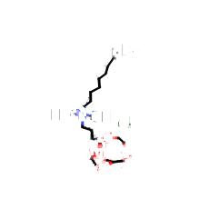 CCCCCCCCCCCCCCCCCC[N+](C)(C)CCC[Si]12OCCOCC(CO1)OCCO2.[Cl-]